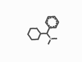 CN(C)C(c1ccccc1)C1C[CH]CCC1